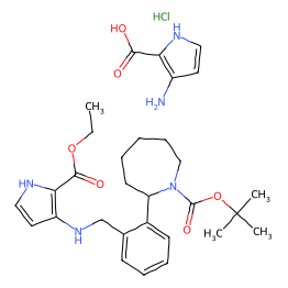 CCOC(=O)c1[nH]ccc1NCc1ccccc1C1CCCCCN1C(=O)OC(C)(C)C.Cl.Nc1cc[nH]c1C(=O)O